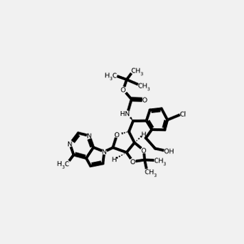 Cc1ncnc2c1ccn2C1O[C@H]([C@H](NC(=O)OC(C)(C)C)c2ccc(Cl)cc2CCO)[C@H]2OC(C)(C)O[C@@H]12